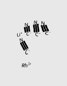 [C-]#N.[C-]#N.[C-]#N.[C-]#N.[Li+].[Rh+3]